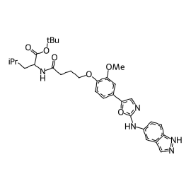 COc1cc(-c2cnc(Nc3ccc4[nH]ncc4c3)o2)ccc1OCCCC(=O)NC(CC(C)C)C(=O)OC(C)(C)C